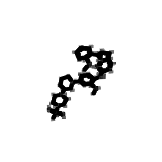 COc1cc(N2CCCC(N3CCN(S(C)(=O)=O)CC3)C2)ccc1Nc1ncc2ccc(-c3ccccc3OC)n2n1